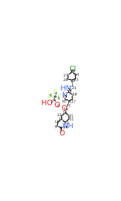 O=C(O)C(F)(F)F.O=c1ccc2cc(OCc3ccc(NCc4ccc(Cl)cc4)nc3)ccc2[nH]1